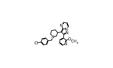 COc1ncccc1-c1nn2cccnc2c1C1CCCN(Cc2ccc(Cl)cc2)C1